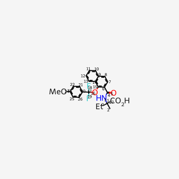 CCC(C)(NC(=O)c1ccc2ccccc2c1OC(F)(F)c1ccc(OC)cc1)C(=O)O